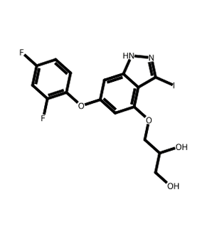 OCC(O)COc1cc(Oc2ccc(F)cc2F)cc2[nH]nc(I)c12